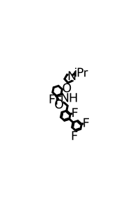 CC(C)N1CC[C@H](O[C@H]2CCCC(F)(F)[C@@H]2NC(=O)Cc2cccc(-c3cc(F)cc(F)c3)c2F)C1